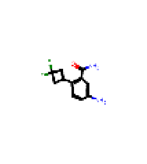 NC(=O)c1cc(N)ccc1C1CC(F)(F)C1